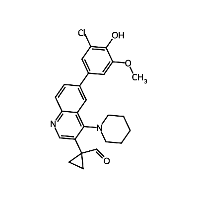 COc1cc(-c2ccc3ncc(C4(C=O)CC4)c(N4CCCCC4)c3c2)cc(Cl)c1O